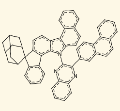 c1ccc2c(c1)-c1c(ccc3c4c5ccccc5ccc4n(-c4nc5ccccc5nc4-c4ccc5c(ccc6ccccc65)c4)c13)C21C2CC3CC(C2)CC1C3